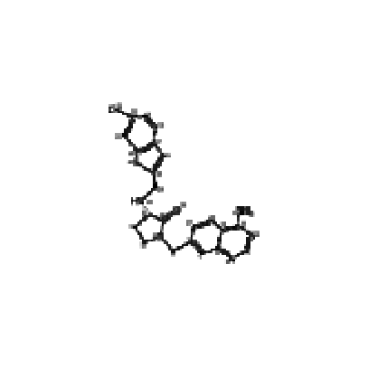 Nc1ncnc2cc(CN3CC[C@H](NCc4cc5ccc(Cl)cc5s4)C3=O)ccc12